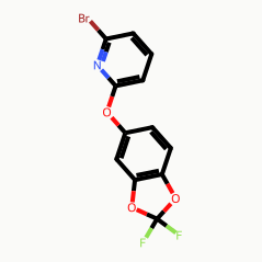 FC1(F)Oc2ccc(Oc3cccc(Br)n3)cc2O1